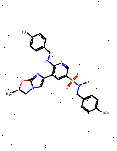 COc1ccc(CN(C)S(=O)(=O)c2cnc(NCc3ccc(C(F)(F)F)cc3)c(-c3cn4c(n3)O[C@H](C)C4)c2)cc1